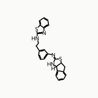 c1cc(CCNc2nc3ccccc3s2)cc(/N=C2\N[C@H]3c4ccccc4CC3S2)c1